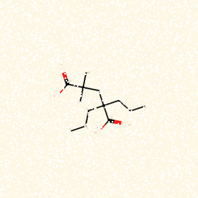 CCCC(CCC)(CC(C)(C)C(=O)O)C(=O)O